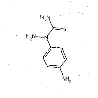 NC(=S)N(N)c1ccc(N)cc1